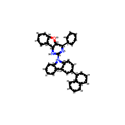 c1ccc(-c2nc(-n3c4ccccc4c4cc(-c5cccc6ccccc56)ccc43)nc3c2oc2ccccc23)cc1